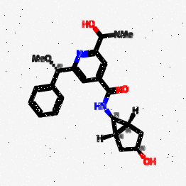 CNC(O)c1cc(C(=O)N[C@H]2[C@@H]3C[C@@H](O)C[C@@H]32)cc([C@@H](OC)c2ccccc2)n1